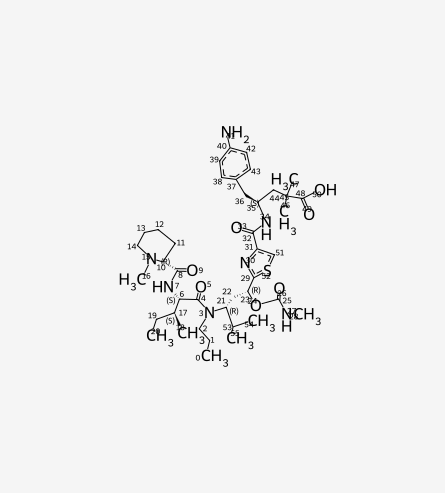 CCCN(C(=O)[C@@H](NC(=O)[C@H]1CCCCN1C)[C@@H](C)CC)[C@H](C[C@@H](OC(=O)NC)c1nc(C(=O)N[C@@H](Cc2ccc(N)cc2)CC(C)(C)C(=O)O)cs1)C(C)C